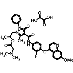 COc1ccc2c(Oc3ccc(NC(=O)c4c(C)n(CC(C)OC(=O)CN(C)C)n(-c5ccccc5)c4=O)cc3F)ccnc2c1.O=C(O)C(=O)O